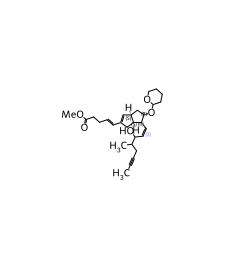 CC#CCC(C)C(O)/C=C\[C@H]1[C@H]2CC(C=CCCC(=O)OC)=C[C@H]2C[C@H]1OC1CCCCO1